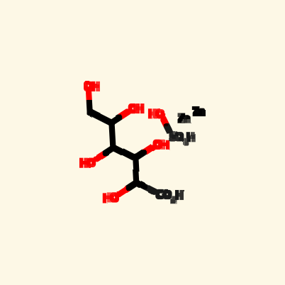 O=C(O)C(O)C(O)C(O)C(O)CO.O=S(=O)(O)O.[Zn].[Zn]